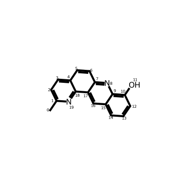 Cc1ccc2ccc3nc4c(O)cccc4cc3c2n1